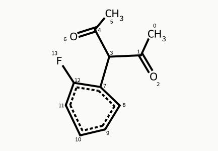 CC(=O)C(C(C)=O)c1ccccc1F